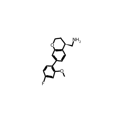 COc1cc(F)ccc1-c1ccc2c(c1)OCC[C@H]2CN